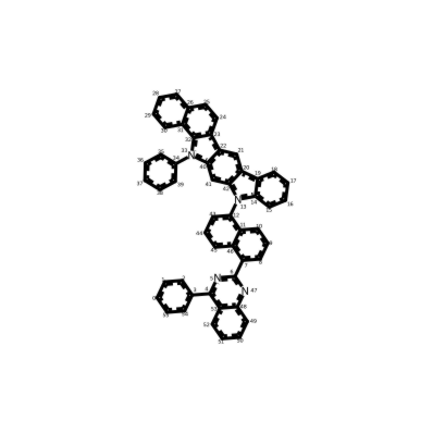 c1ccc(-c2nc(-c3cccc4c(-n5c6ccccc6c6cc7c8ccc9ccccc9c8n(-c8ccccc8)c7cc65)cccc34)nc3ccccc23)cc1